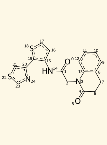 O=C(CN1C(=O)CCc2ccccc21)Nc1ccsc1-c1cscn1